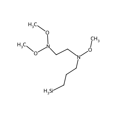 CON(CCC[SiH3])CCN(OC)OC